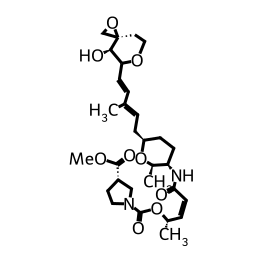 COC(=O)[C@H]1CCN(C(=O)O[C@@H](C)/C=C\C(=O)N[C@@H]2CC[C@H](C/C=C(C)/C=C/C3OCC[C@@]4(CO4)[C@@H]3O)O[C@@H]2C)C1